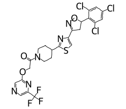 O=C(COc1cncc(C(F)(F)F)n1)N1CCC(c2nc(C3=NOC(c4c(Cl)cc(Cl)cc4Cl)C3)cs2)CC1